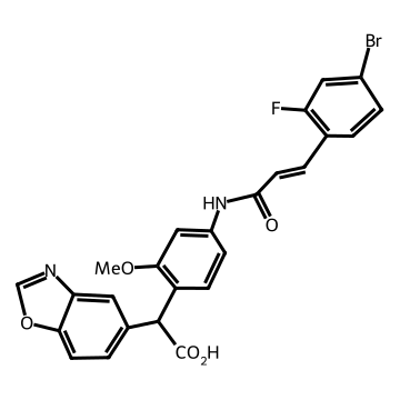 COc1cc(NC(=O)C=Cc2ccc(Br)cc2F)ccc1C(C(=O)O)c1ccc2ocnc2c1